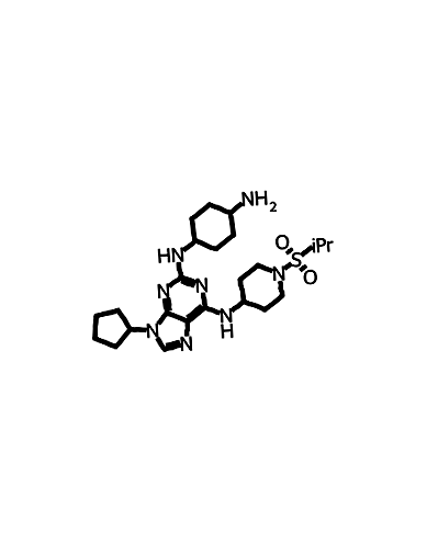 CC(C)S(=O)(=O)N1CCC(Nc2nc(NC3CCC(N)CC3)nc3c2ncn3C2CCCC2)CC1